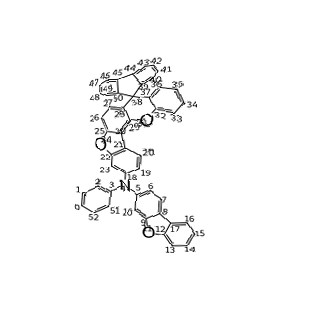 c1ccc(N(c2ccc3c(c2)oc2ccccc23)c2ccc3c(c2)oc2ccc4c(c23)Oc2ccccc2C42c3ccccc3-c3ccccc32)cc1